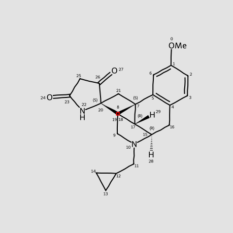 COc1ccc2c(c1)[C@]13CCN(CC4CC4)[C@H](C2)[C@@H]1CC[C@@]1(C3)NC(=O)CC1=O